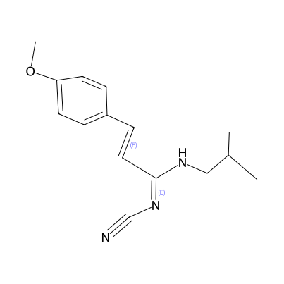 COc1ccc(/C=C/C(=N\C#N)NCC(C)C)cc1